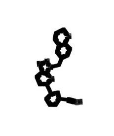 C#Cc1cccc(-c2ccc3nnn(Cc4ccc5ncccc5c4)c3n2)c1